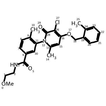 COCCNC(=O)c1ccc(C)c(-n2c(C)cc(OCc3ccccc3C)c(Cl)c2=O)c1